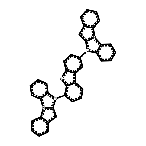 c1ccc2c(c1)cc1n(-c3ccc4sc5c(-n6c7ccccc7n7c8ccccc8cc67)cccc5c4c3)c3ccccc3n21